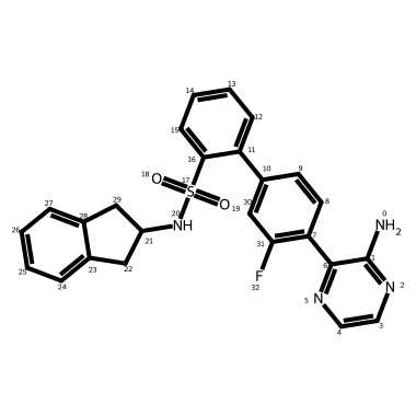 Nc1nccnc1-c1ccc(-c2ccccc2S(=O)(=O)NC2Cc3ccccc3C2)cc1F